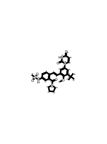 COc1c(C=Cc2ccc(NS(C)(=O)=O)cc2C(=O)N2CCCC2)cc(-n2ccc(=O)[nH]c2=O)cc1C(C)(C)C